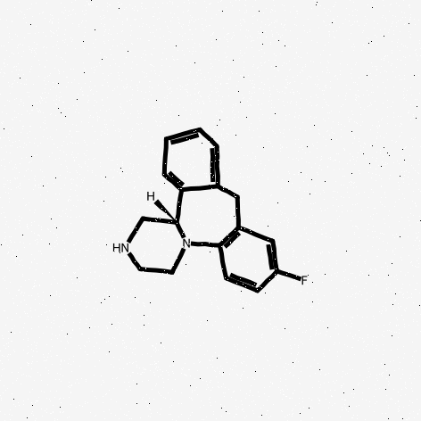 Fc1ccc2c(c1)Cc1ccccc1[C@H]1CNCCN21